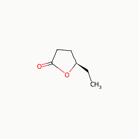 CC[C@@H]1CCC(=O)O1